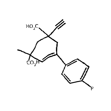 C#CC1(C(=O)O)CC(c2ccc(F)cc2)=CC(C)(C(=O)O)C1